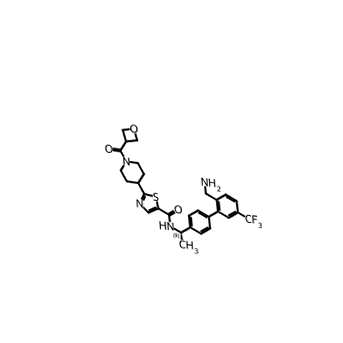 C[C@@H](NC(=O)c1cnc(C2CCN(C(=O)C3COC3)CC2)s1)c1ccc(-c2cc(C(F)(F)F)ccc2CN)cc1